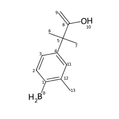 Bc1ccc(C(C)(C)C(=C)O)cc1C